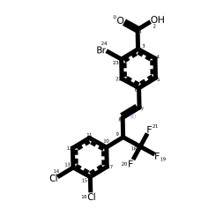 O=C(O)c1ccc(/C=C/C(c2ccc(Cl)c(Cl)c2)C(F)(F)F)cc1Br